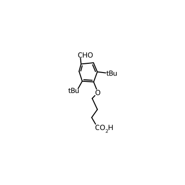 CC(C)(C)c1cc(C=O)cc(C(C)(C)C)c1OCCCC(=O)O